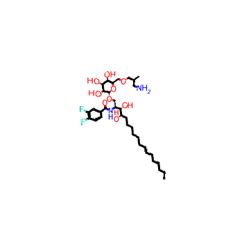 CCCCCCCCCCCCCC[C@@H](O)[C@@H](O)[C@H](CO[C@H]1OC(COCC(C)CN)[C@H](O)[C@H](O)C1O)NC(=O)c1ccc(F)c(F)c1